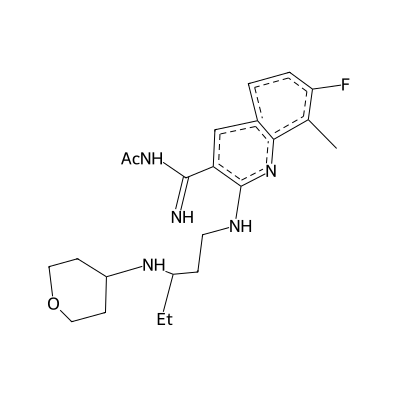 CCC(CCNc1nc2c(C)c(F)ccc2cc1C(=N)NC(C)=O)NC1CCOCC1